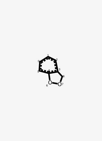 [c]1ccc2c(c1)OOC2